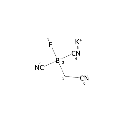 N#CC[B-](F)(C#N)C#N.[K+]